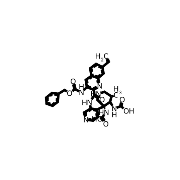 C=Cc1ccc2cc(NC(=O)OCc3ccccc3)c(C(=O)Nc3cnccc3[C@@]3(NC(=O)O)CNCC(C)C3NC(=O)O)nc2c1